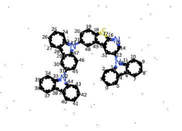 c1ccc2c(c1)c1ccccc1n2-c1cnc2sc3ccc(-n4c5ccccc5c5cc(-n6c7ccccc7c7ccccc76)ccc54)cc3c2c1